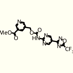 COC(=O)c1cncc(COC(=O)Nc2ncc(-c3noc(C(F)(F)F)n3)cn2)c1